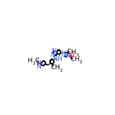 C=CC(=O)N1CCN(c2ccc3ncnc(Nc4ccc(Cc5ccc6c(c5)ncn6C)c(C)c4)c3c2F)CC1C